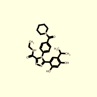 CCNC(=O)c1nnc(-c2cc(C(C)C)c(O)cc2O)n1-c1ccc(C(=O)N2CC[CH]CC2)cc1